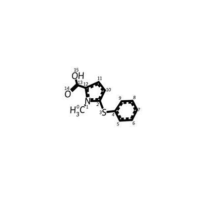 Cn1c(Sc2ccccc2)ccc1C(=O)O